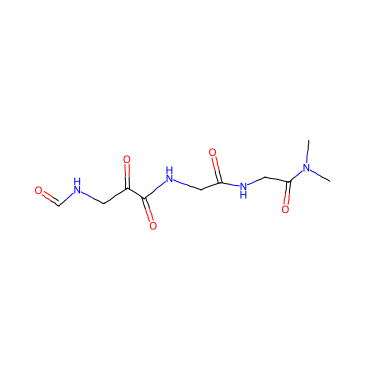 CN(C)C(=O)CNC(=O)CNC(=O)C(=O)CNC=O